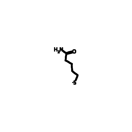 NC(=O)CCCC[S]